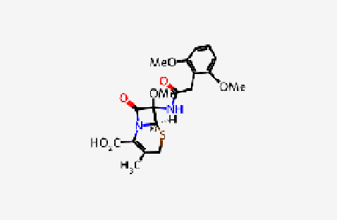 COc1cccc(OC)c1CC(=O)NC1(OC)C(=O)N2C(C(=O)O)=C(C)CS[C@@H]21